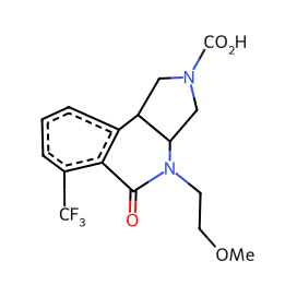 COCCN1C(=O)c2c(cccc2C(F)(F)F)C2CN(C(=O)O)CC21